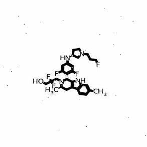 Cc1ccc2c3c([nH]c2c1)[C@@H](c1c(F)cc(N[C@H]2CCN(CCCF)C2)cc1F)N(CC(F)(F)CO)[C@H](C)C3